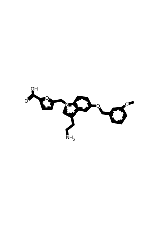 COc1cccc(COc2ccc3c(c2)c(CCN)cn3Cc2ccc(C(=O)O)o2)c1